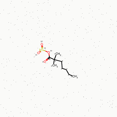 CCCCCC(C)(C)C(=O)O[SH](=O)=O